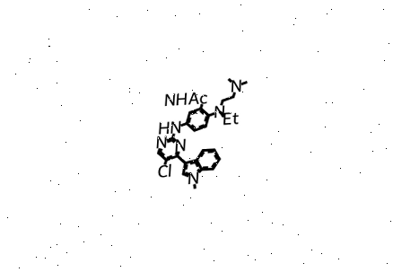 CCN(CCN(C)C)c1ccc(Nc2ncc(Cl)c(-c3cn(C)c4ccccc34)n2)cc1NC(C)=O